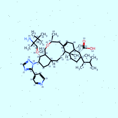 CC(C)[C@@H](C)[C@@]1(C)CC[C@]2(C)[C@H]3CC[C@@H]4CC[C@@H](n5ncnc5-c5ccncc5)[C@H](OCC(C)(N)C(C)(C)C)[C@@]4(C)CO[C@@H](C)CC3=CC[C@@]2(C)[C@@H]1C(=O)O